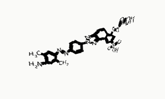 Cc1cc(N=Nc2ccc(-n3nc4ccc5c(SOOO)cc(S(=O)(=O)O)cc5c4n3)cc2)c(C)cc1N